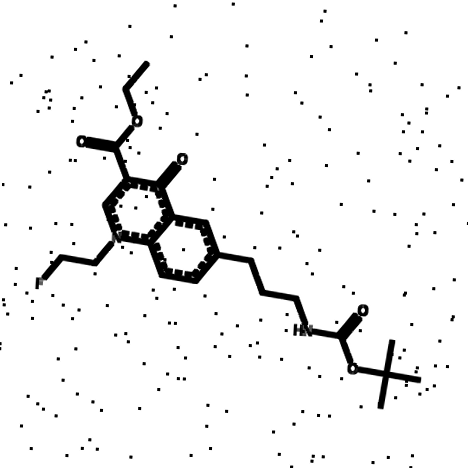 CCOC(=O)c1cn(CCF)c2ccc(CCCNC(=O)OC(C)(C)C)cc2c1=O